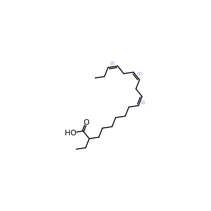 CC/C=C\C/C=C\C/C=C\CCCCCCC(CC)C(=O)O